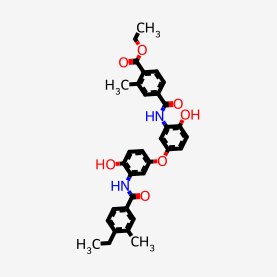 CCOC(=O)c1ccc(C(=O)Nc2cc(Oc3ccc(O)c(NC(=O)c4ccc(CC)c(C)c4)c3)ccc2O)cc1C